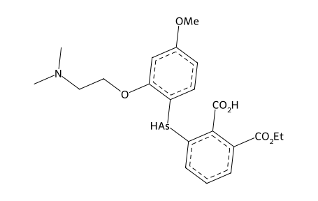 CCOC(=O)c1cccc([AsH]c2ccc(OC)cc2OCCN(C)C)c1C(=O)O